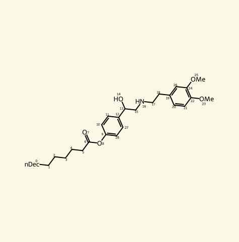 CCCCCCCCCCCCCCCC(=O)Oc1ccc(C(O)CNCCc2ccc(OC)c(OC)c2)cc1